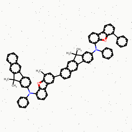 Cc1cc(-c2ccc3cc4c(cc3c2)C(C)(C)c2cc(N(c3ccccc3)c3cccc5c3oc3c(-c6ccccc6)cccc35)ccc2-4)cc2c1oc1c(N(c3ccccc3)c3ccc4c(c3)C(C)(C)c3cc5ccccc5cc3-4)cccc12